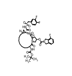 CC(C)(C)OC(=O)N[C@H]1CCCCCCC[C@@H]2C[C@@]2(C(=O)NS(=O)(=O)Cc2ccc(F)c(F)c2)NC(=O)[C@@H]2C[C@@H](OC(=O)N3Cc4cccc(F)c4C3)CN2C1=O